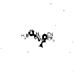 Bc1cncc(-c2nnc(Cn3c(C4CC4)cc4c(C(F)(F)F)c(C#N)ccc43)o2)c1